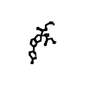 CCOC(=O)C1(NC(=O)CBr)Cc2ccc(-c3ccc(Cl)cc3)cc2C1